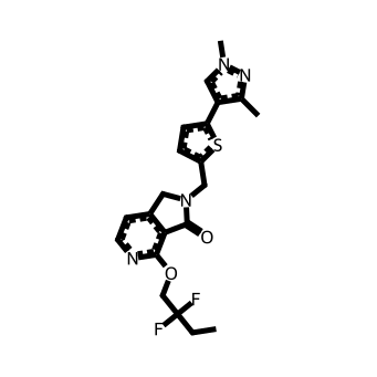 CCC(F)(F)COc1nccc2c1C(=O)N(Cc1ccc(-c3cn(C)nc3C)s1)C2